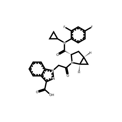 O=C(O)c1nn(CC(=O)N2[C@@H]3C[C@@H]3C[C@H]2C(=O)N(c2ccc(F)cc2F)C2CC2)c2ccccc12